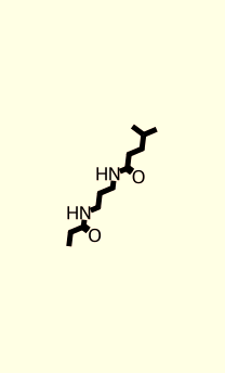 CCC(=O)NCCCNC(=O)CCC(C)C